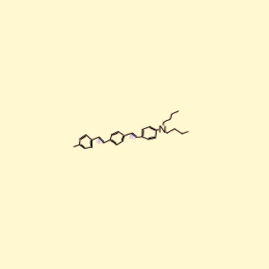 CCCCN(CCCC)c1ccc(/C=C/c2ccc(/C=C/c3ccc(C)cc3)cc2)cc1